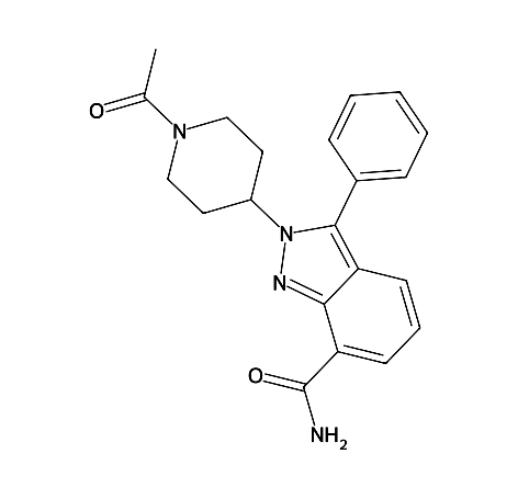 CC(=O)N1CCC(n2nc3c(C(N)=O)cccc3c2-c2ccccc2)CC1